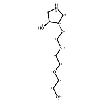 OCCOCCSCC[C@H]1CNC[C@@H]1O